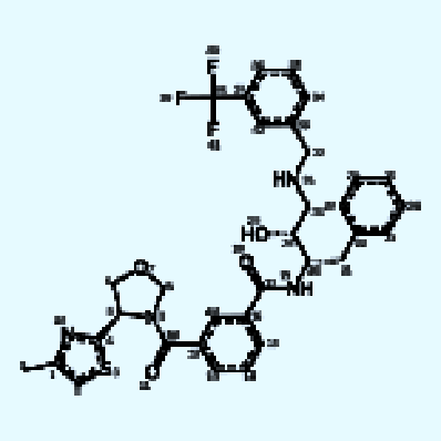 Cc1csc([C@H]2COCN2C(=O)c2cccc(C(=O)N[C@@H](Cc3ccccc3)[C@H](O)CNCc3cccc(C(F)(F)F)c3)c2)n1